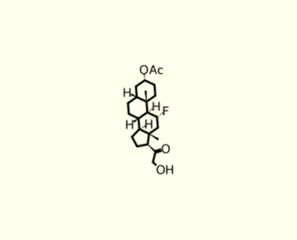 CC(=O)O[C@@H]1CC[C@@]2(C)[C@H](CC[C@@H]3[C@@H]2[C@H](F)C[C@]2(C)[C@@H](C(=O)CO)CC[C@@H]32)C1